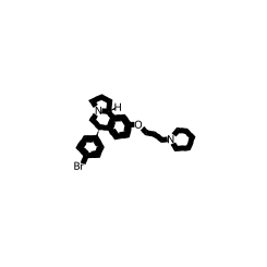 Brc1ccc([C@@H]2CN3CCC[C@H]3c3cc(OCCCN4CCCCC4)ccc32)cc1